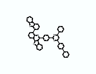 c1ccc(-c2ccc(-c3cc(-c4ccccc4)nc(-c4ccc(-c5nc6c(-c7cccc8c7sc7ccccc78)cccc6c6oc7ccccc7c56)cc4)n3)cc2)cc1